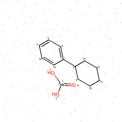 O=[Se](O)O.c1ccc(C2CCCCC2)cc1